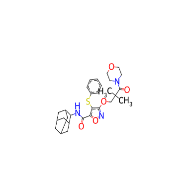 CC(C)(COc1noc(C(=O)NC2C3CC4CC(C3)CC2C4)c1Sc1ccccc1)C(=O)N1CCOCC1